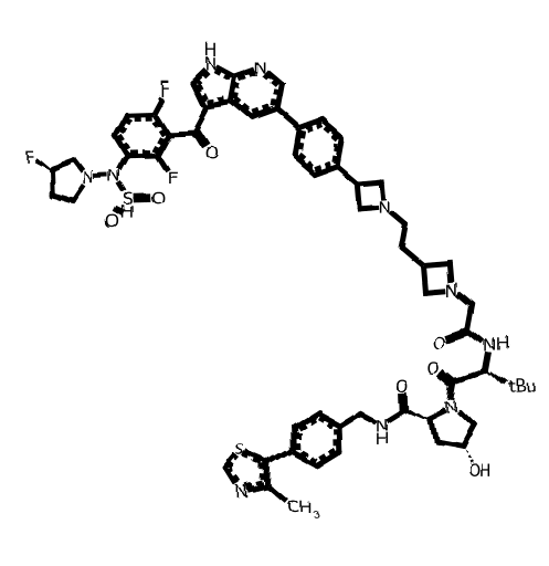 Cc1ncsc1-c1ccc(CNC(=O)[C@@H]2C[C@@H](O)CN2C(=O)[C@@H](NC(=O)CN2CC(CCN3CC(c4ccc(-c5cnc6[nH]cc(C(=O)c7c(F)ccc(N(N8CC[C@@H](F)C8)[SH](=O)=O)c7F)c6c5)cc4)C3)C2)C(C)(C)C)cc1